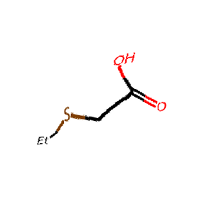 [CH2]CSCC(=O)O